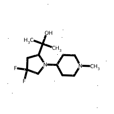 CN1CCC(N2CC(F)(F)CC2C(C)(C)O)CC1